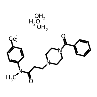 CN(C(=O)CCN1CCN(C(=O)c2ccccc2)CC1)c1cc[c]([Ge])cc1.O.O.O